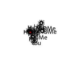 COc1ccc(/C(=N\OCc2ccccc2)C(=O)NC(Cc2ccc(F)c(C(=O)OC(C)(C)C)c2OC)B2O[C@@H]3C[C@@H]4C[C@@H](C4(C)C)[C@]3(C)O2)c(Cl)c1OC